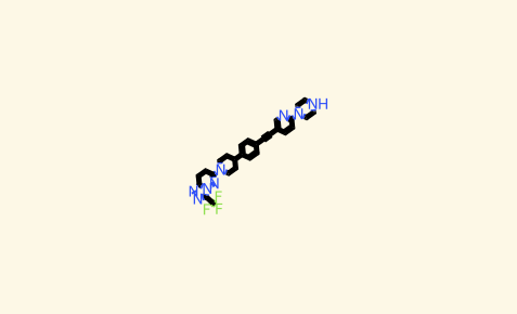 FC(F)(F)c1nnc2n1N=C(N1CCC(c3ccc(C#Cc4ccc(N5CCNCC5)nc4)cc3)CC1)CC2